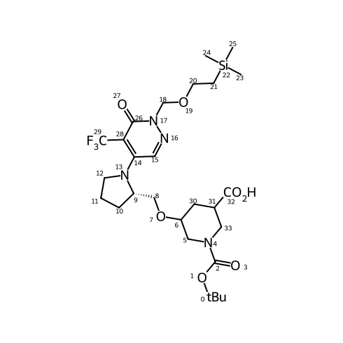 CC(C)(C)OC(=O)N1CC(OC[C@@H]2CCCN2c2cnn(COCC[Si](C)(C)C)c(=O)c2C(F)(F)F)CC(C(=O)O)C1